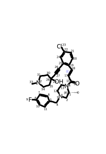 C[C@@H]1CN(Cc2ccc(F)cc2)CCN1C(=O)/C=C/c1ccc(Cl)cc1C#CC1(O)CCN(C)CC1